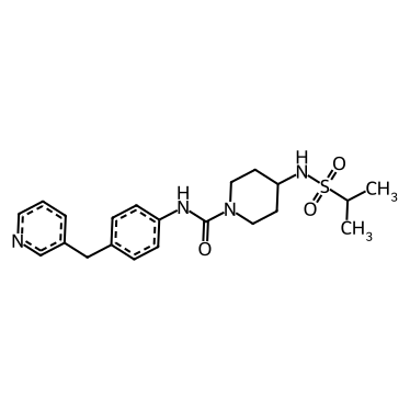 CC(C)S(=O)(=O)NC1CCN(C(=O)Nc2ccc(Cc3cccnc3)cc2)CC1